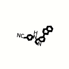 N#CCc1ccc(Nc2ccnc3ccc(-c4ccc5ccccc5c4)cc23)cc1